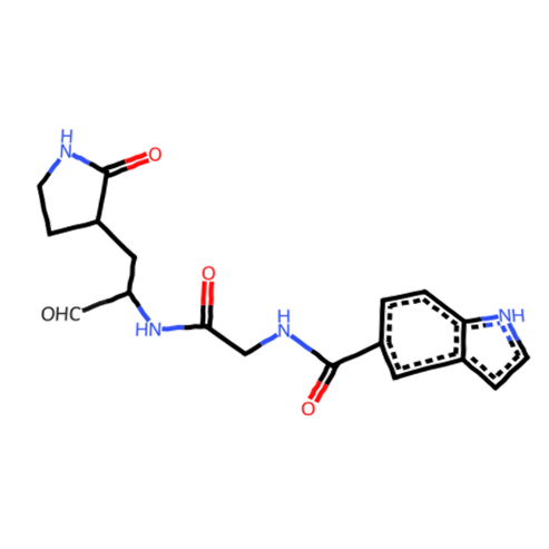 O=CC(CC1CCNC1=O)NC(=O)CNC(=O)c1ccc2[nH]ccc2c1